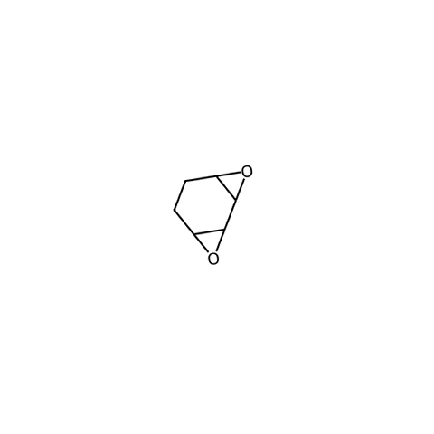 C1CC2OC2C2OC12